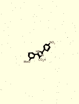 COc1cccc(-c2[nH]c(-c3ccc([N+](=O)[O-])cc3)nc2C(=O)O)c1